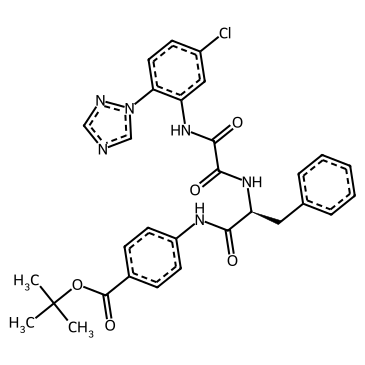 CC(C)(C)OC(=O)c1ccc(NC(=O)[C@H](Cc2ccccc2)NC(=O)C(=O)Nc2cc(Cl)ccc2-n2cncn2)cc1